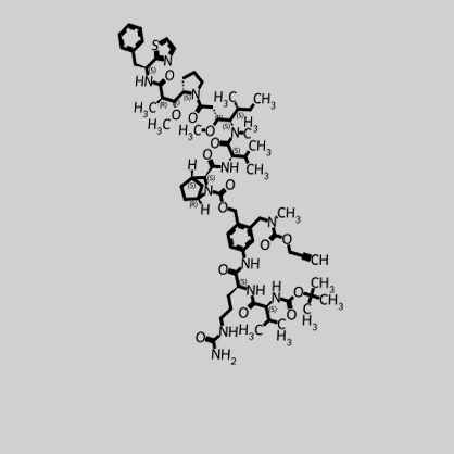 C#CCOC(=O)N(C)Cc1cc(NC(=O)[C@H](CCCNC(N)=O)NC(=O)[C@@H](NC(=O)OC(C)(C)C)C(C)C)ccc1COC(=O)N1[C@@H]2CC[C@@H](C2)[C@H]1C(=O)N[C@H](C(=O)N(C)[C@@H]([C@@H](C)CC)[C@@H](CC(=O)N1CCC[C@H]1[C@H](OC)[C@@H](C)C(=O)N[C@@H](Cc1ccccc1)c1nccs1)OC)C(C)C